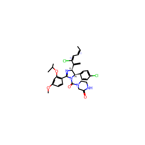 C=C(/C(Cl)=C\C=C/C)[C@@H]1N=C(c2ccc(OC)cc2OC(C)C)N(C(=O)N2CCNC(=O)C2)[C@@H]1c1ccc(Cl)cc1